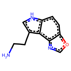 NCCc1c[nH]c2ccc3ocnc3c12